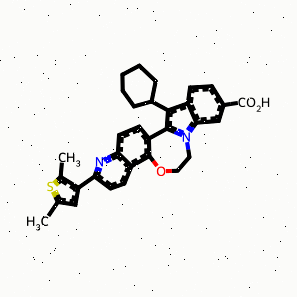 Cc1cc(-c2ccc3c4c(ccc3n2)-c2c(C3CCCCC3)c3ccc(C(=O)O)cc3n2CCO4)c(C)s1